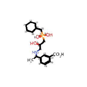 CC(NCC(O)CP(=O)(O)CC1CCCCC1)c1cccc(C(=O)O)c1